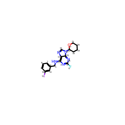 Fc1nc(NCc2cccc(I)c2)c2ncn(C3CCCCO3)c2n1